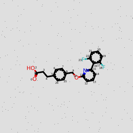 O=C(O)CCc1ccc(COc2cccc(-c3c(F)cccc3F)n2)cc1